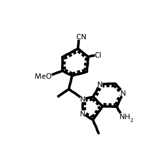 COc1cc(C#N)c(Cl)cc1C(C)n1nc(C)c2c(N)ncnc21